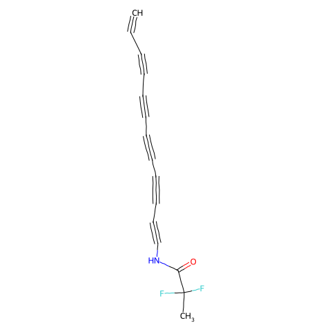 C#CC#CC#CC#CC#CC#CNC(=O)C(C)(F)F